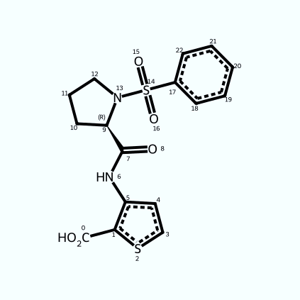 O=C(O)c1sccc1NC(=O)[C@H]1CCCN1S(=O)(=O)c1ccccc1